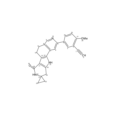 C#Cc1cc(-c2cc3c(cn2)CCc2c-3[nH]c3c2C(=O)NC2(CC2)C3)ccc1OC